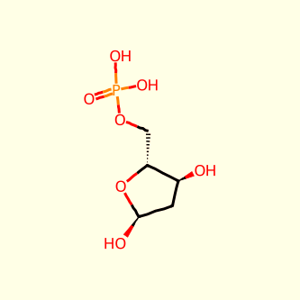 O=P(O)(O)OC[C@H]1O[C@H](O)C[C@@H]1O